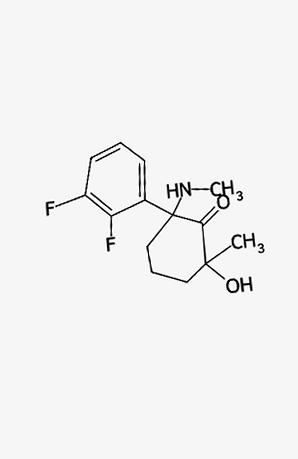 CNC1(c2cccc(F)c2F)CCCC(C)(O)C1=O